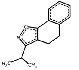 CC(C)c1noc2c1CCc1ccccc1-2